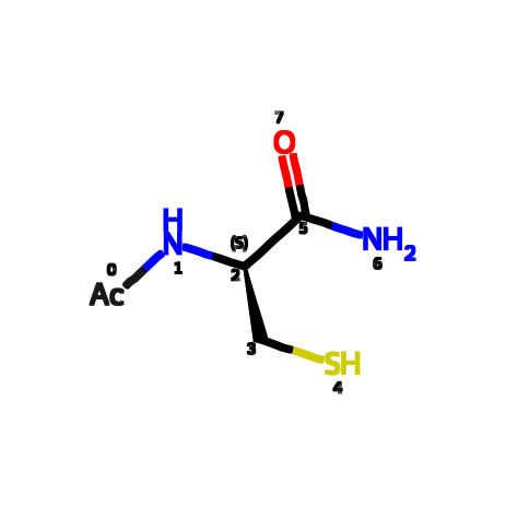 CC(=O)N[C@H](CS)C(N)=O